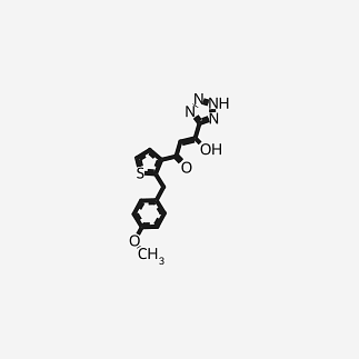 COc1ccc(Cc2sccc2C(=O)C=C(O)c2nn[nH]n2)cc1